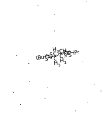 CC(C)c1cc2cc(C(C)(C)CCC(C)(C)c3cc4sc(C(C)(C)C)cc4s3)sc2s1